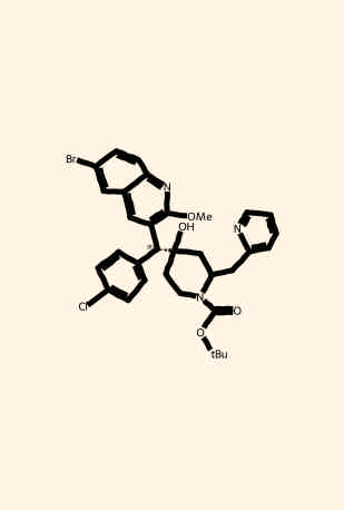 COc1nc2ccc(Br)cc2cc1[C@@H](c1ccc(Cl)cc1)C1(O)CCN(C(=O)OC(C)(C)C)C(Cc2ccccn2)C1